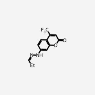 CC/C=N\Nc1ccc2c(C(F)(F)F)cc(=O)oc2c1